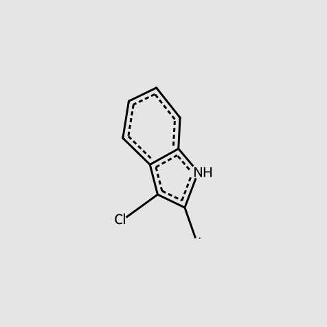 [CH2]c1[nH]c2ccccc2c1Cl